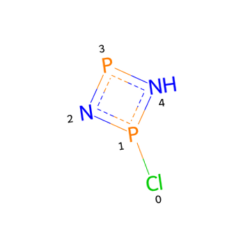 Clp1np[nH]1